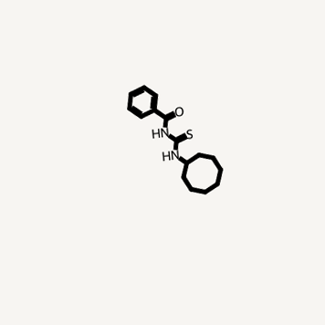 O=C(NC(=S)NC1CCCCCCC1)c1ccccc1